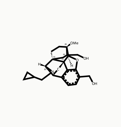 CO[C@]12CC[C@@]3(C[C@@H]1CO)[C@H]1Cc4ccc(CO)c5c4[C@@]3(CCN1CC1CC1)C2O5